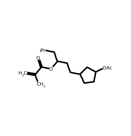 C=C(C)C(=O)OC(CCC1CCC(OC(C)=O)C1)CC(C)C